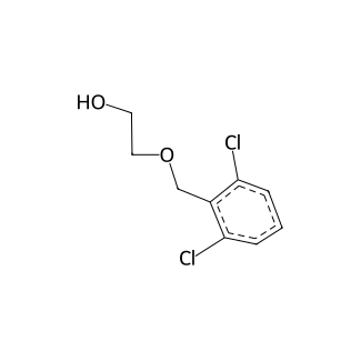 OCCOCc1c(Cl)cccc1Cl